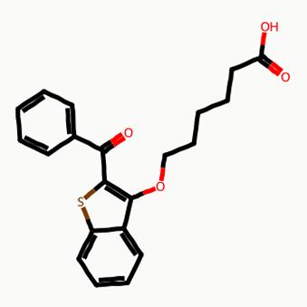 O=C(O)CCCCCOc1c(C(=O)c2ccccc2)sc2ccccc12